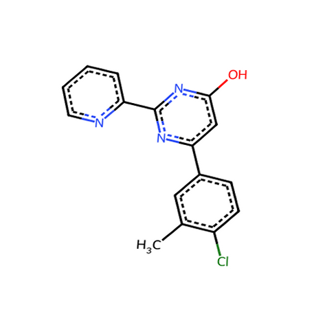 Cc1cc(-c2cc(O)nc(-c3ccccn3)n2)ccc1Cl